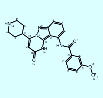 O=C(Nc1cccc2nn3c(C4CCNCC4)cc(=O)[nH]c3c12)c1cccc(OC(F)(F)F)c1